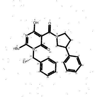 CCCCc1nc(O)c(C(=O)N2CCC(c3ccccc3)C2)c(=O)n1[C@@H](CC)c1ccccc1